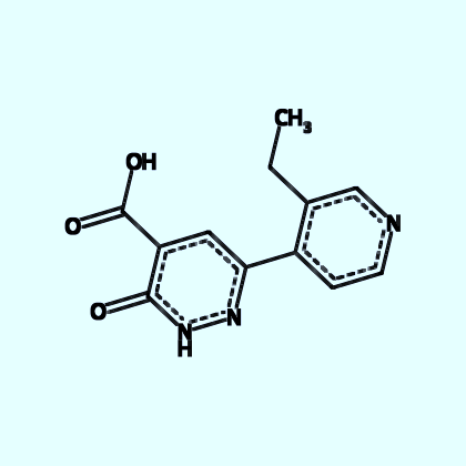 CCc1cnccc1-c1cc(C(=O)O)c(=O)[nH]n1